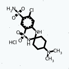 CN(C)C1CCC2(CC1)Nc1cc(Cl)c(S(N)(=O)=O)cc1S(=O)(=O)N2.Cl